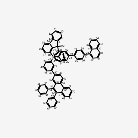 CC1(c2ccccc2)c2ccccc2-c2cccc(N(c3ccc(-c4ccc(-c5cccc6ccccc56)cc4)cc3)c3cccc(-c4ccc5c(c4)c(-c4ccccc4)c(-c4ccccc4)c4ccccc45)c3)c21